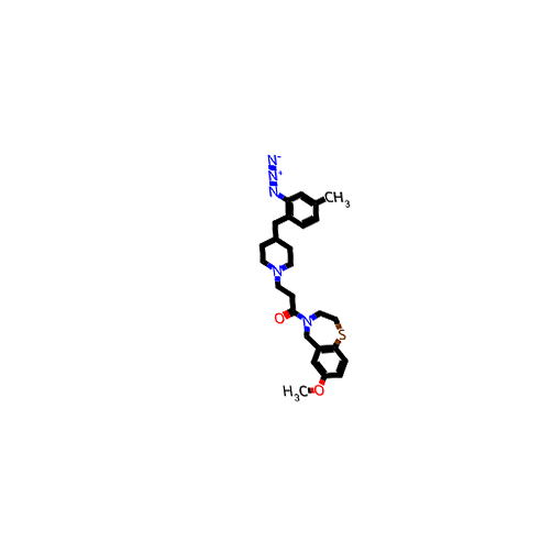 COc1ccc2c(c1)CN(C(=O)CCN1CCC(Cc3ccc(C)cc3N=[N+]=[N-])CC1)CCS2